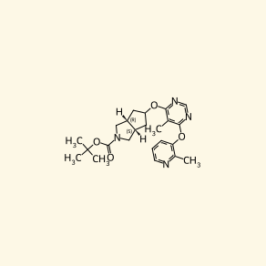 Cc1ncccc1Oc1ncnc(OC2C[C@@H]3CN(C(=O)OC(C)(C)C)C[C@@H]3C2)c1C